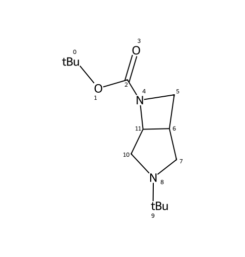 CC(C)(C)OC(=O)N1CC2CN(C(C)(C)C)CC21